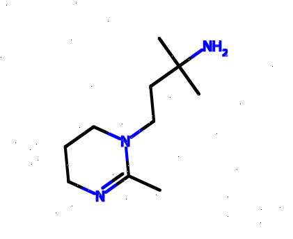 CC1=NCCCN1CCC(C)(C)N